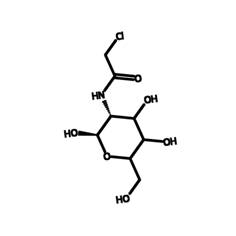 O=C(CCl)N[C@@H]1C(O)C(O)C(CO)O[C@H]1O